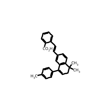 Cc1ccc(C2=CCC(C)(C)c3ccc(/C=C/c4ccccc4C(=O)O)cc32)cc1